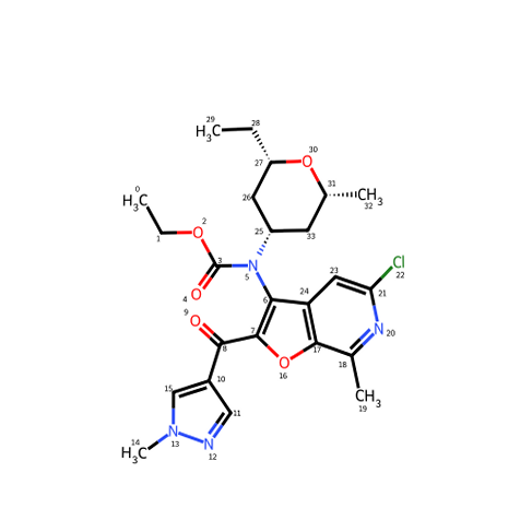 CCOC(=O)N(c1c(C(=O)c2cnn(C)c2)oc2c(C)nc(Cl)cc12)[C@@H]1C[C@H](CC)O[C@H](C)C1